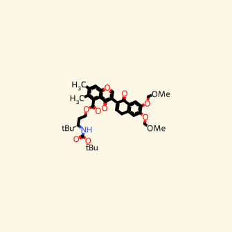 COCOc1cc2c(cc1OCOC)C(=O)C(c1coc3cc(C)c(C)c(C(=O)OCC[C@H](NC(=O)OC(C)(C)C)C(C)(C)C)c3c1=O)=CC2